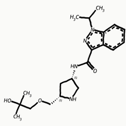 CC(C)n1nc(C(=O)N[C@@H]2CN[C@H](COCC(C)(C)O)C2)c2ccccc21